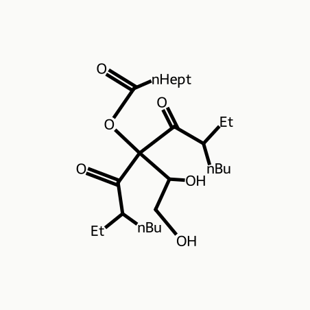 CCCCCCCC(=O)OC(C(=O)C(CC)CCCC)(C(=O)C(CC)CCCC)C(O)CO